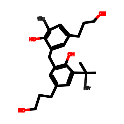 CCCC(C)(C)c1cc(CCCO)cc(Cc2cc(CCCO)cc(C(C)(C)C)c2O)c1O